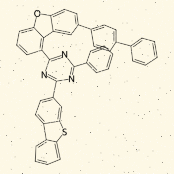 c1ccc(-c2ccc(-c3ccc4oc5cccc(-c6nc(-c7ccccc7)nc(-c7ccc8c(c7)sc7ccccc78)n6)c5c4c3)cc2)cc1